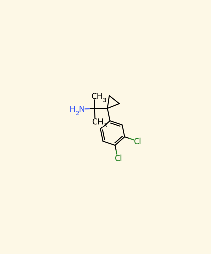 CC(C)(N)C1(c2ccc(Cl)c(Cl)c2)CC1